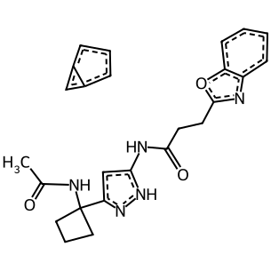 CC(=O)NC1(c2cc(NC(=O)CCc3nc4ccccc4o3)[nH]n2)CCC1.c1cc2cc-2c1